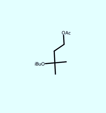 CC(=O)OCCC(C)(C)OCC(C)C